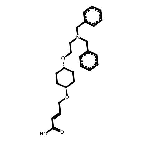 O=C(O)/C=C/CO[C@H]1CC[C@H](OCCN(Cc2ccccc2)Cc2ccccc2)CC1